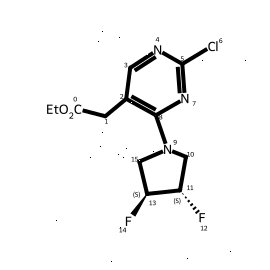 CCOC(=O)Cc1cnc(Cl)nc1N1C[C@H](F)[C@@H](F)C1